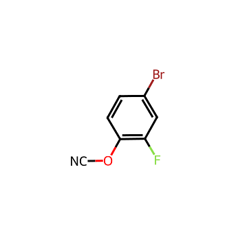 N#COc1ccc(Br)cc1F